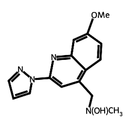 COc1ccc2c(CN(C)O)cc(-n3cccn3)nc2c1